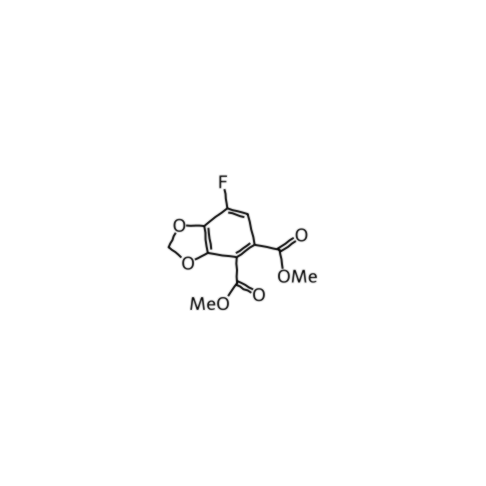 COC(=O)c1cc(F)c2c(c1C(=O)OC)OCO2